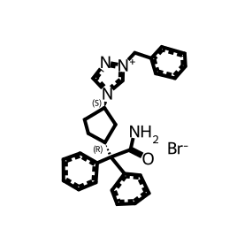 NC(=O)C(c1ccccc1)(c1ccccc1)[C@@H]1CC[C@H](n2cn[n+](Cc3ccccc3)c2)C1.[Br-]